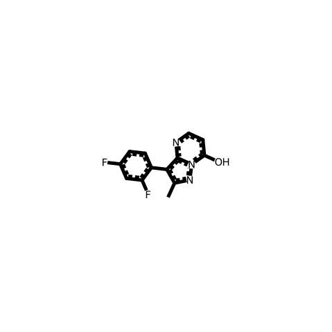 Cc1nn2c(O)ccnc2c1-c1ccc(F)cc1F